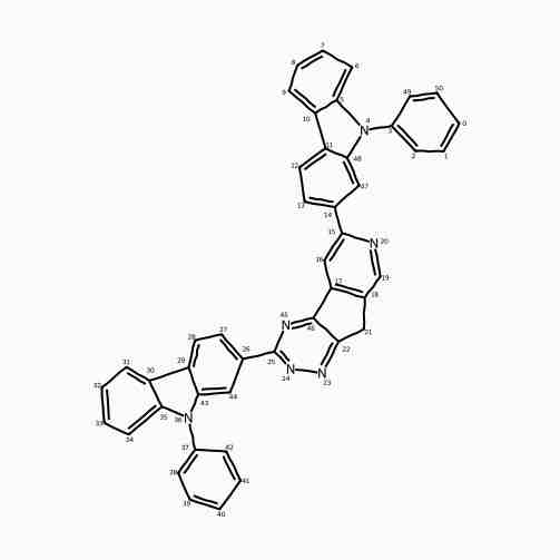 c1ccc(-n2c3ccccc3c3ccc(-c4cc5c(cn4)Cc4nnc(-c6ccc7c8ccccc8n(-c8ccccc8)c7c6)nc4-5)cc32)cc1